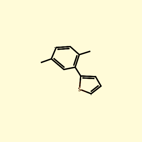 Cc1[c]cc(C)c(-c2cc[c]s2)c1